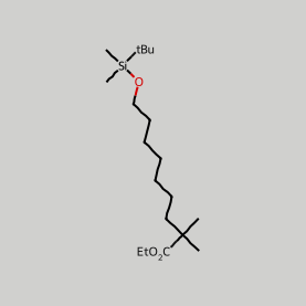 CCOC(=O)C(C)(C)CCCCCCCO[Si](C)(C)C(C)(C)C